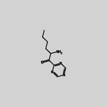 CCCCC(N)C(=O)c1ncncn1